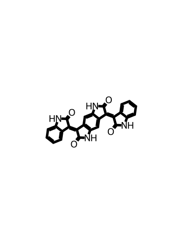 O=C1Nc2ccccc2C1=C1C(=O)Nc2cc3c(cc21)NC(=O)C3=C1C(=O)Nc2ccccc21